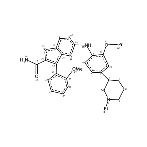 CCN1CCCC(c2ccc(Nc3ncc4sc(C(N)=O)c(-c5ccccc5OC)c4n3)c(OC(C)C)c2)C1